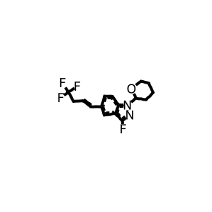 Fc1nn(C2CCCCO2)c2ccc(C=CCC(F)(F)F)cc12